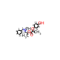 CC(CN(C)Cc1ccccc1)OC(=O)C(C)Oc1ccc(O)cc1